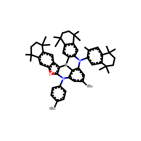 Cc1cc2c(cc1N1c3cc4c(cc3B3c5c1cc(C(C)(C)C)cc5N(c1ccc(C(C)(C)C)cc1)c1oc5cc6c(cc5c13)C(C)(C)CCC6(C)C)C(C)(C)CCC4(C)C)C(C)(C)CCC2(C)C